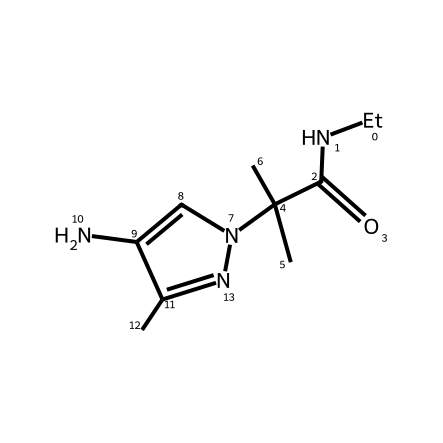 CCNC(=O)C(C)(C)n1cc(N)c(C)n1